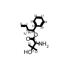 C=C[C@@H](C)[C@H](OC(=O)[C@@H](N)C(C)(C)O)c1ccccc1